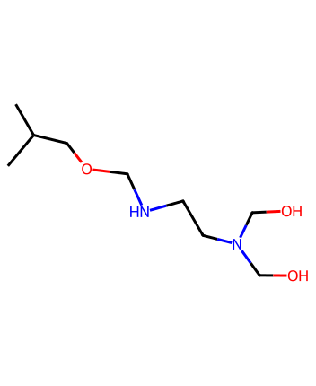 CC(C)COCNCCN(CO)CO